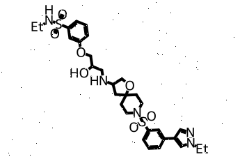 CCNS(=O)(=O)c1cccc(OCC(O)CNC2COC3(CCN(S(=O)(=O)c4cccc(-c5cnn(CC)c5)c4)CC3)C2)c1